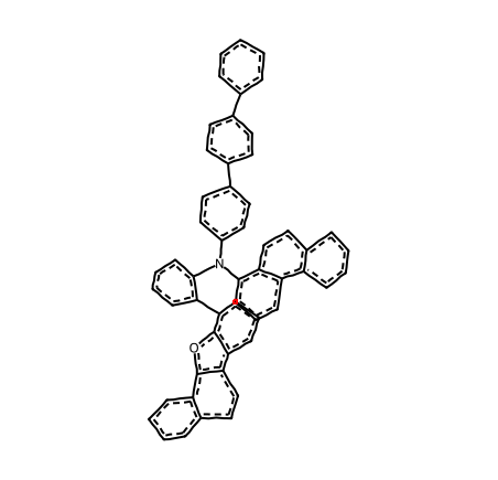 c1ccc(-c2ccc(-c3ccc(N(c4ccccc4-c4cccc5c4oc4c6ccccc6ccc54)c4cccc5c4ccc4ccccc45)cc3)cc2)cc1